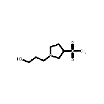 CS(=O)(=O)C1CCN(CCCO)C1